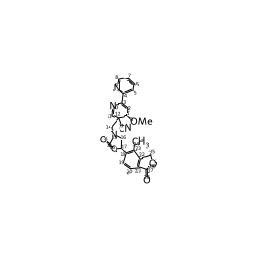 CO[C@@H]1C=C(c2ccccn2)N=CC1(C#N)CN1CC(c2ccc3c(c2C)COC3=O)OC1=O